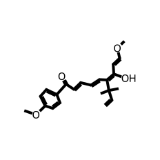 C=CC(C)(C)C(/C=C/C=C/C(=O)c1ccc(OC)cc1)=C(O)/C=C/OC